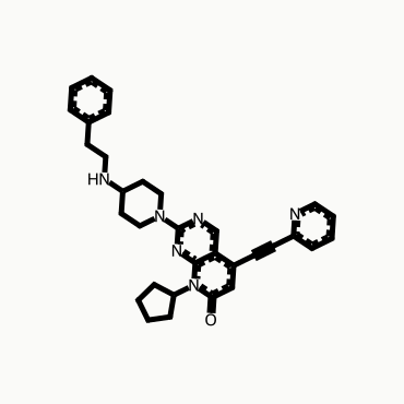 O=c1cc(C#Cc2ccccn2)c2cnc(N3CCC(NCCc4ccccc4)CC3)nc2n1C1CCCC1